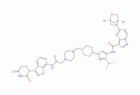 O=C1CCC(c2noc3c(NC(=O)CN4CCN(CC5CCC(n6cc(NC(=O)c7cnn8ccc(N9C[C@@H]%10C[C@H]9CO%10)nc78)c(C(F)F)n6)CC5)CC4)cccc23)C(=O)N1